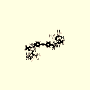 COC(=O)N[C@H](C(=O)N1CC2(CC2)C[C@H]1c1nc2cc(C#Cc3ccc(-c4nc([C@@H]5CC6(CC6)CN5C(=O)[C@@H](C)C(C)C)[nH]c4Cl)cc3)ccc2[nH]1)C(C)C